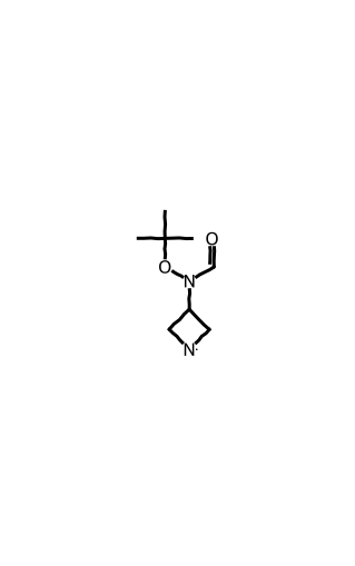 CC(C)(C)ON(C=O)C1C[N]C1